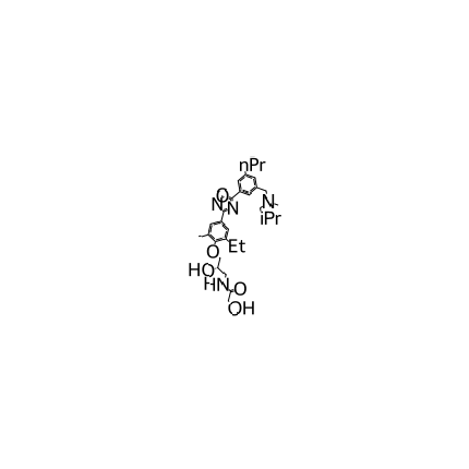 CCCc1cc(CN(C)CC(C)C)cc(-c2nc(-c3cc(C)c(OC[C@@H](O)CNC(=O)CO)c(CC)c3)no2)c1